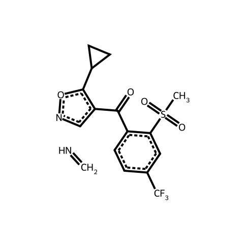 C=N.CS(=O)(=O)c1cc(C(F)(F)F)ccc1C(=O)c1cnoc1C1CC1